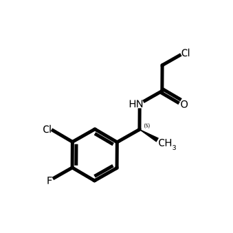 C[C@H](NC(=O)CCl)c1ccc(F)c(Cl)c1